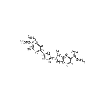 N=C(N)c1ccc2nc(-c3ccc(-c4ccc(C(=N)N)c(F)c4)o3)[nH]c2c1